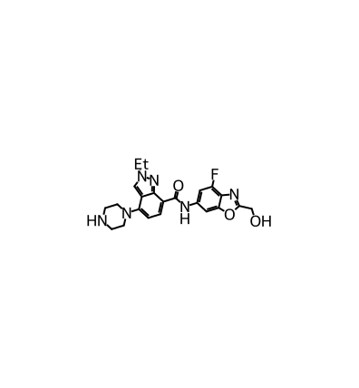 CCn1cc2c(N3CCNCC3)ccc(C(=O)Nc3cc(F)c4nc(CO)oc4c3)c2n1